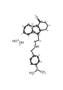 CN(C)c1ccc(CNCCc2c3c(n4ccccc24)C(=O)CCC3)cc1.Cl.Cl